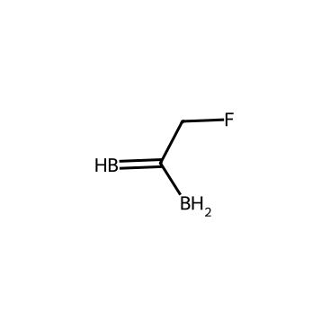 B=C(B)CF